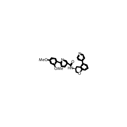 COc1ccc(-c2ccc(C(=O)N[C@@H]3COc4cccc(-c5ccncc5)c4C3)cn2)c(OC)c1